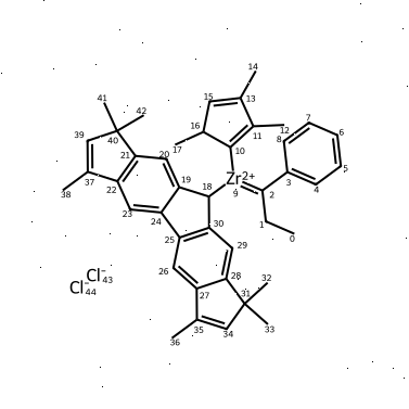 CC/[C](c1ccccc1)=[Zr+2](/[C]1=C(C)C(C)=CC1C)[CH]1c2cc3c(cc2-c2cc4c(cc21)C(C)(C)C=C4C)C(C)=CC3(C)C.[Cl-].[Cl-]